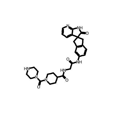 O=C(CNC(=O)C1CCN(C(=O)N2CCNCC2)CC1)Nc1ccc2c(c1)CC1(C2)C(=O)Nc2ncccc21